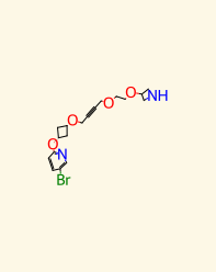 Brc1ccc(O[C@H]2C[C@H](OCC#CCOCCOC3CNC3)C2)nc1